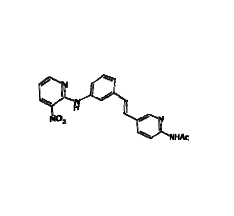 CC(=O)Nc1ccc(C=Cc2cccc(Nc3ncccc3[N+](=O)[O-])c2)cn1